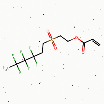 C=CC(=O)OCCS(=O)(=O)CCC(F)(F)C(F)(F)C(F)(F)C(F)(F)F